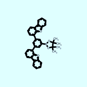 CC1(C)OB(c2cc(-c3cccc4c3oc3ccccc34)cc(-c3cccc4c3oc3ccccc34)c2)OC1(C)C